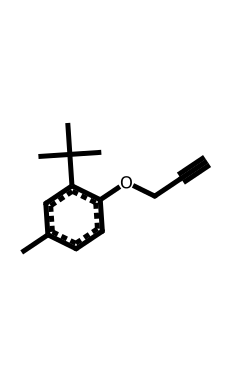 C#CCOc1ccc(C)cc1C(C)(C)C